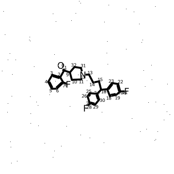 O=C(c1ccccc1F)C1CCN(CCCC(c2ccc(F)cc2)c2ccc(F)cc2)CC1